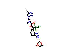 Cc1cn(CCNC(=O)c2oc3c(c2C(F)(F)F)-c2nn(C[C@H]4COCCO4)cc2CC3)nn1